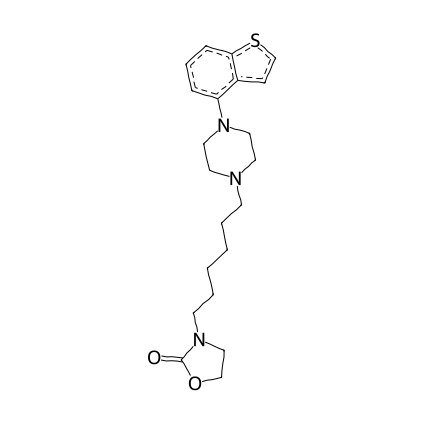 O=C1OCCN1CCCCCCN1CCN(c2cccc3sccc23)CC1